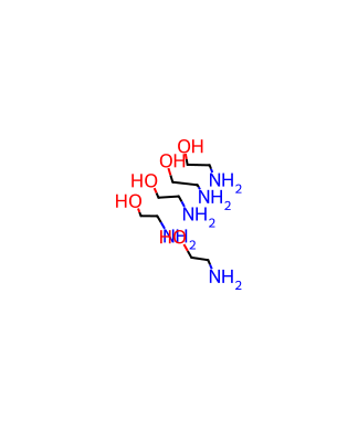 NCCO.NCCO.NCCO.NCCO.NCCO